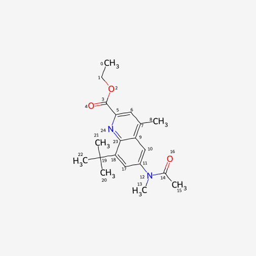 CCOC(=O)c1cc(C)c2cc(N(C)C(C)=O)cc(C(C)(C)C)c2n1